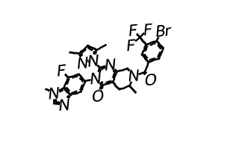 Cc1cc(C)n(-c2nc3c(c(=O)n2-c2cc(F)c4c(c2)ncn4C)CC(C)N(C(=O)c2ccc(Br)c(C(F)(F)F)c2)C3)n1